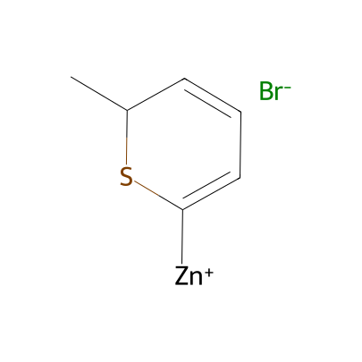 CC1C=CC=[C]([Zn+])S1.[Br-]